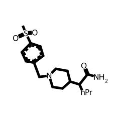 CCCC(C(N)=O)C1CCN(Cc2ccc(S(C)(=O)=O)cc2)CC1